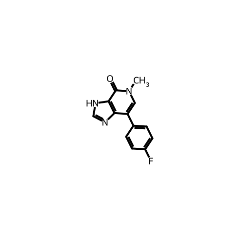 Cn1cc(-c2ccc(F)cc2)c2nc[nH]c2c1=O